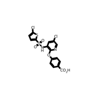 O=C(O)c1ccc(Oc2ncc(Cl)cc2NS(=O)(=O)c2ccc(Cl)s2)cc1